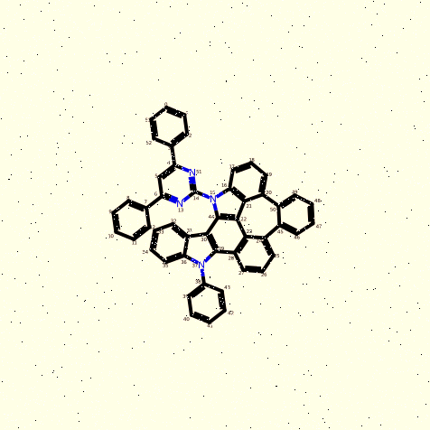 c1ccc(-c2cc(-c3ccccc3)nc(-n3c4cccc5c4c4c6c(cccc6c6c(c7ccccc7n6-c6ccccc6)c43)-c3ccccc3-5)n2)cc1